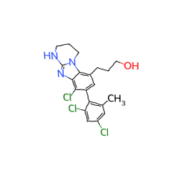 Cc1cc(Cl)cc(Cl)c1-c1cc(CCCO)c2c(nc3n2CCCN3)c1Cl